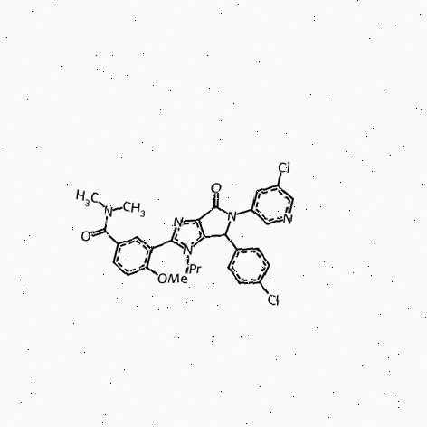 COc1ccc(C(=O)N(C)C)cc1-c1nc2c(n1C(C)C)C(c1ccc(Cl)cc1)N(c1cncc(Cl)c1)C2=O